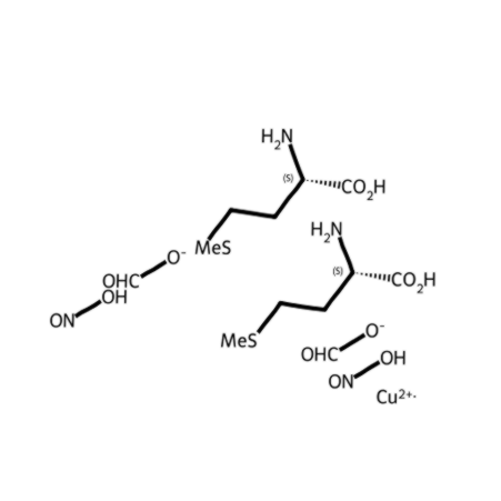 CSCC[C@H](N)C(=O)O.CSCC[C@H](N)C(=O)O.O=C[O-].O=C[O-].O=NO.O=NO.[Cu+2]